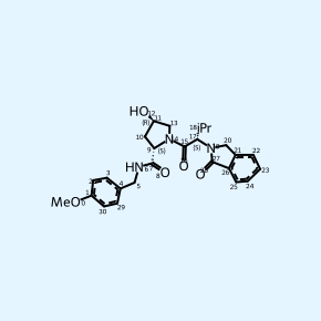 COc1ccc(CNC(=O)[C@@H]2C[C@@H](O)CN2C(=O)[C@H](C(C)C)N2Cc3ccccc3C2=O)cc1